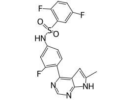 Cc1cc2c(-c3ccc(NS(=O)(=O)c4cc(F)ccc4F)cc3F)ncnc2[nH]1